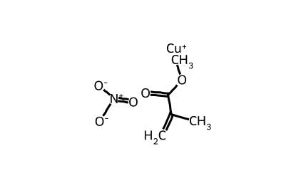 C=C(C)C(=O)OC.O=[N+]([O-])[O-].[Cu+]